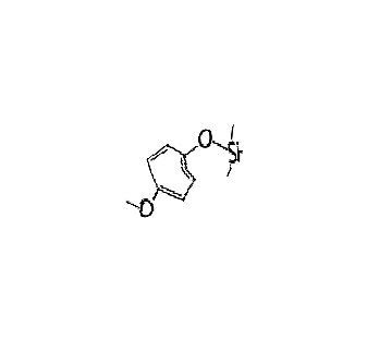 COc1ccc(O[Si](C)(C)C)cc1